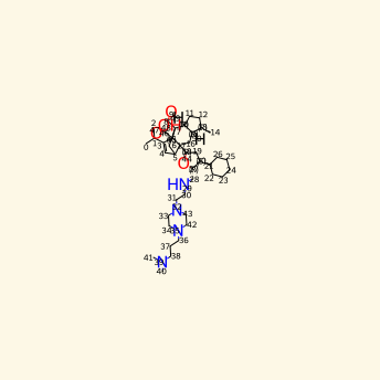 CC(C)C1=CC2CC3(C=O)[C@@H]4CC[C@@H](C)[C@H]4CC2([C@H]2C[C@@H](C4CCCCC4)[C@H](CNCCN4CCN(CCCN(C)C)CC4)O2)[C@]13C(=O)O